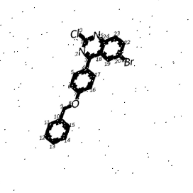 Clc1nc(-c2ccc(OCc3ccccc3)cc2)c2cc(Br)ccc2n1